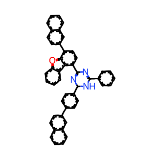 c1ccc(C2=NC(c3ccc(-c4ccc5ccccc5c4)c4oc5ccccc5c34)=NC(c3ccc(-c4ccc5ccccc5c4)cc3)N2)cc1